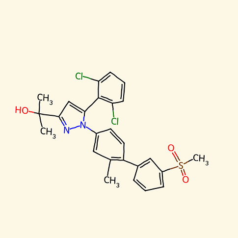 Cc1cc(-n2nc(C(C)(C)O)cc2-c2c(Cl)cccc2Cl)ccc1-c1cccc(S(C)(=O)=O)c1